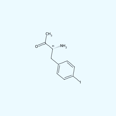 CC(=O)[C@H](N)Cc1ccc(I)cc1